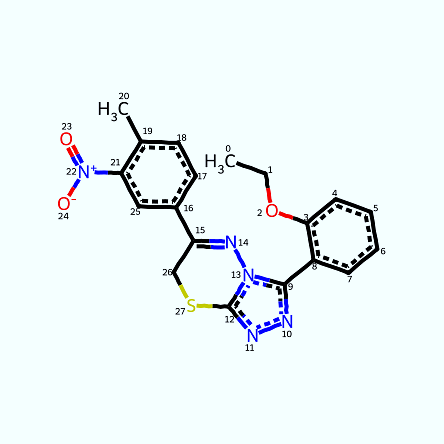 CCOc1ccccc1-c1nnc2n1N=C(c1ccc(C)c([N+](=O)[O-])c1)CS2